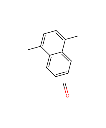 C=O.Cc1ccc(C)c2ccccc12